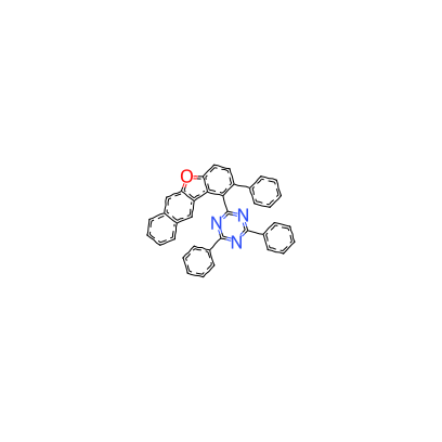 c1ccc(-c2nc(-c3ccccc3)nc(-c3c(-c4ccccc4)ccc4oc5cc6ccccc6cc5c34)n2)cc1